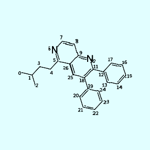 CC(C)CCc1nccc2nc(-c3cc[c]cc3)c(-c3ccccc3)cc12